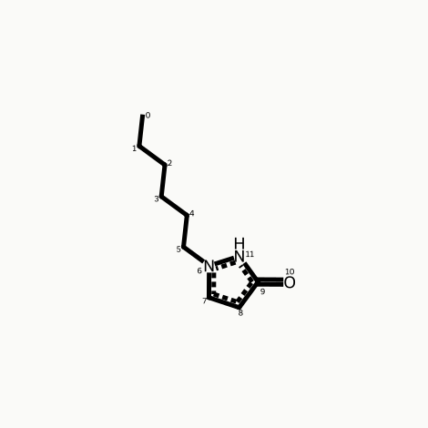 CCCCCCn1ccc(=O)[nH]1